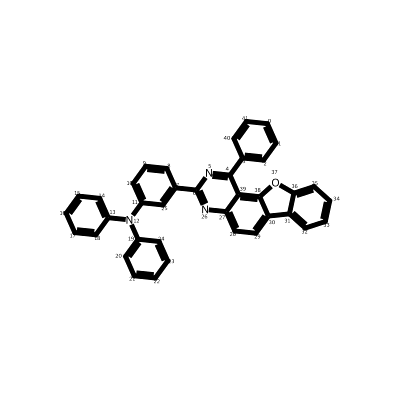 c1ccc(-c2nc(-c3cccc(N(c4ccccc4)c4ccccc4)c3)nc3ccc4c5ccccc5oc4c23)cc1